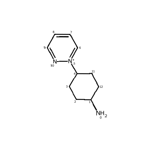 NC1CCC([n+]2ccccn2)CC1